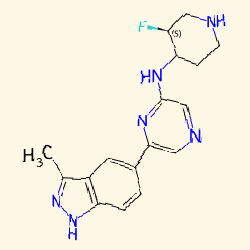 Cc1n[nH]c2ccc(-c3cncc(NC4CCNC[C@@H]4F)n3)cc12